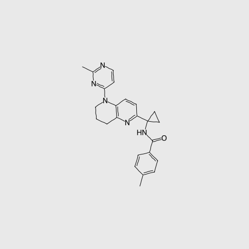 Cc1ccc(C(=O)NC2(c3ccc4c(n3)CCCN4c3ccnc(C)n3)CC2)cc1